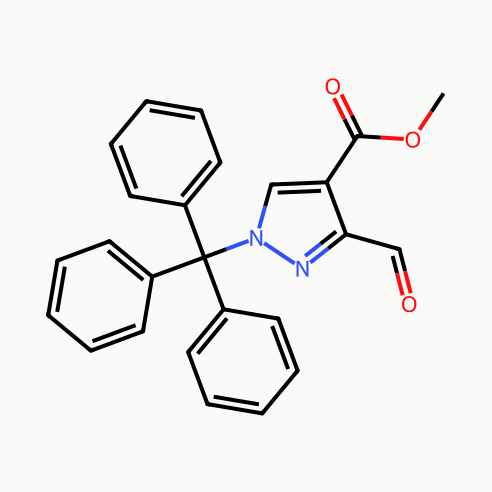 COC(=O)c1cn(C(c2ccccc2)(c2ccccc2)c2ccccc2)nc1C=O